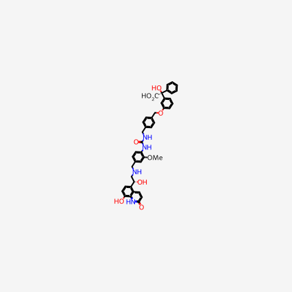 COc1cc(CNC[C@H](O)c2ccc(O)c3[nH]c(=O)ccc23)ccc1NC(=O)NCc1ccc(COc2cccc([C@](O)(C(=O)O)c3ccccc3)c2)cc1